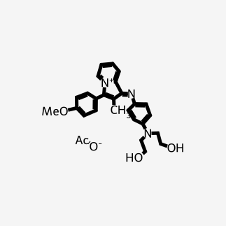 CC(=O)[O-].COc1ccc(C2=C(C)/C(=N\c3ccc(N(CCO)CCO)cc3)c3cccc[n+]32)cc1